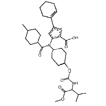 COC(=O)C(NC(=O)OC1CCC(N(C(=O)C2CCC(C)CC2)c2cc(C3=CCCCC3)sc2C(=O)O)CC1)C(C)C